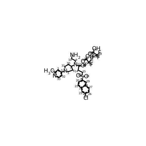 Cc1cc(N2CCC(N(CCN)C(=O)CCS(=O)(=O)c3ccc4cc(Cl)ccc4c3)CC2)ccn1.O=C(O)C(F)(F)F.O=C(O)C(F)(F)F